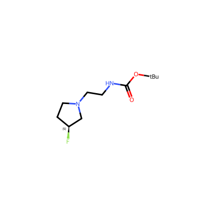 CC(C)(C)OC(=O)NCCN1CC[C@H](F)C1